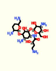 NCC[C@H](O)C(=O)N[C@@H]1C[C@H](N)C(O[C@H]2OC(CN)CCC2N)C(O)[C@H]1O[C@H]1OC(CO)[C@@H](O)[C@H](N)C1O